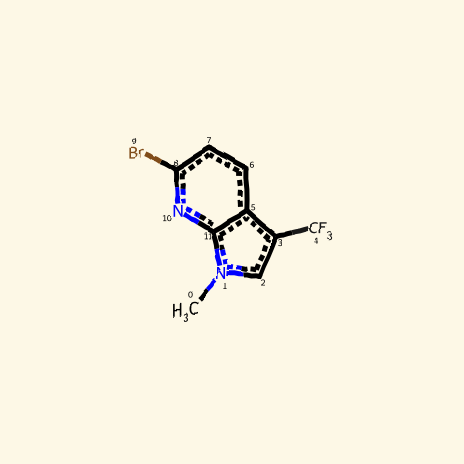 Cn1cc(C(F)(F)F)c2ccc(Br)nc21